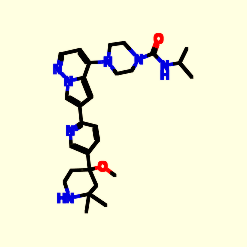 COC1(c2ccc(-c3cc4c(N5CCN(C(=O)NC(C)C)CC5)ccnn4c3)nc2)CCNC(C)(C)C1